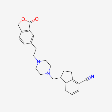 N#Cc1cccc2c1CCC2CN1CCN(CCc2ccc3c(c2)C(=O)OC3)CC1